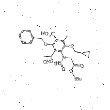 Cc1c(OCC2CC2)c(N(CC(=O)OC(C)(C)C)[SH](=O)=O)c(C(C)C=O)c(OCc2ccccc2)c1C(=O)O